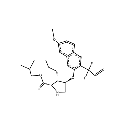 C=CC(F)(F)c1nc2ccc(OC)cc2nc1O[C@H]1CN[C@H](C(=O)OCC(C)C)[C@@H]1CCC